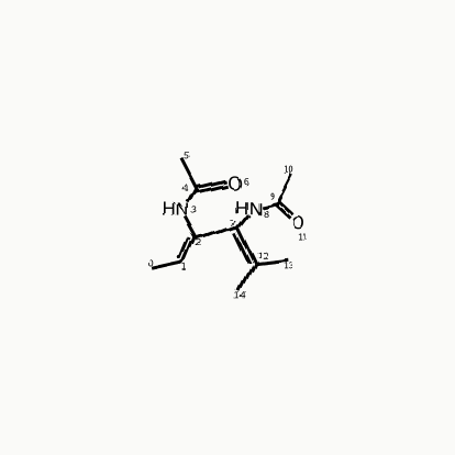 CC=C(NC(C)=O)C(NC(C)=O)=C(C)C